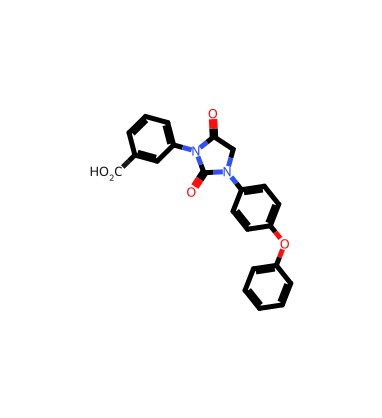 O=C(O)c1cccc(N2C(=O)CN(c3ccc(Oc4ccccc4)cc3)C2=O)c1